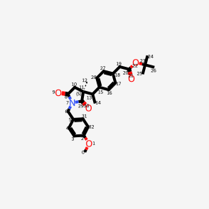 COc1ccc(CN2C(=O)C[C@@](C)(C(C)c3ccc(CC(=O)OC(C)(C)C)cc3)C2=O)cc1